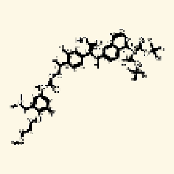 CNCc1cc(NC(=O)OCC(C)c2ccc(C(Nc3ccc4c(N(C(=O)OC(C)(C)C)C(=O)OC(C)(C)C)nccc4c3)C(=O)O)cc2C)cc(F)c1OCCCOC